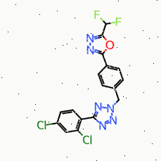 FC(F)c1nnc(-c2ccc(Cn3nnc(-c4ccc(Cl)cc4Cl)n3)cc2)o1